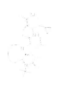 CC(C)C[C@@H](C(=O)NC(CC1CC1)C(=O)C(N)=O)N1CCCCCC[C@H](N(C(=O)O)C(C)(C)C)C1=O